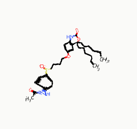 CCCCCCC1(CCCCCC)OC(=O)Nc2ccc(OCCCC[S+]([O-])c3ccc(NC(C)=O)cc3)cc21